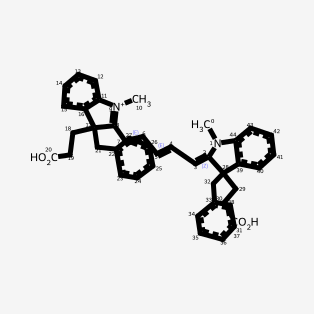 CN1\C(=C/C=C/C=C/C2=[N+](C)c3ccccc3C2(CCC(=O)O)Cc2ccccc2)C(CCC(=O)O)(Cc2ccccc2)c2ccccc21